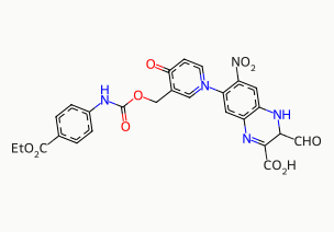 CCOC(=O)c1ccc(NC(=O)OCc2cn(-c3cc4c(cc3[N+](=O)[O-])NC(C=O)C(C(=O)O)=N4)ccc2=O)cc1